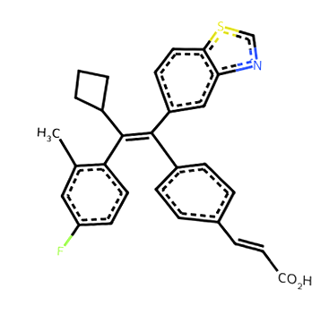 Cc1cc(F)ccc1C(=C(c1ccc(C=CC(=O)O)cc1)c1ccc2scnc2c1)C1CCC1